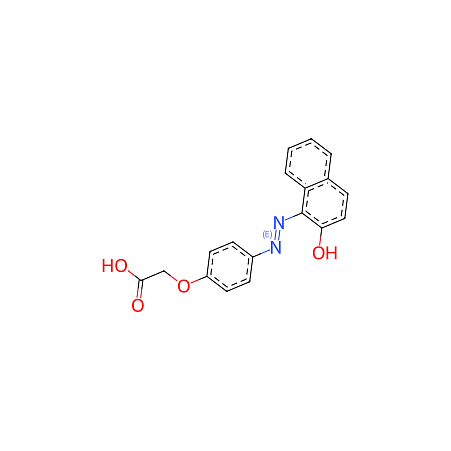 O=C(O)COc1ccc(/N=N/c2c(O)ccc3ccccc23)cc1